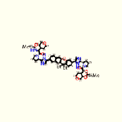 CCC1(CC)c2ccc(-c3cnc([C@@H]4CCCN4C(=O)[C@H](OC(=O)NC)C4CCOCC4)[nH]3)cc2Oc2cc3ccc(-c4cnc(C5CCCN5C(=O)C(NC(=O)OC)C5CCOCC5)[nH]4)cc3cc21